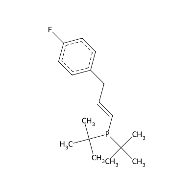 CC(C)(C)P(C=CCc1ccc(F)cc1)C(C)(C)C